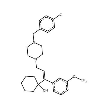 COc1cccc(C(=CCN2CCN(Cc3ccc(Cl)cc3)CC2)C2(O)CCCCC2)c1